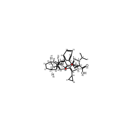 CC(C)n1nc(-c2ccc(N3[C@@H]4CC[C@H]3C[C@@H](OCc3c(-c5ccccc5OC(F)(F)F)noc3C3CC3)C4)cc2)cc1C(=O)O